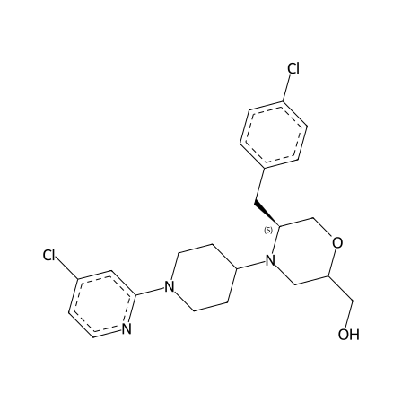 OCC1CN(C2CCN(c3cc(Cl)ccn3)CC2)[C@@H](Cc2ccc(Cl)cc2)CO1